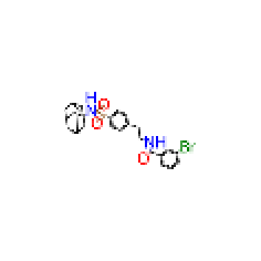 O=C(NCCc1ccc(S(=O)(=O)NC23CC4CC(CC(C4)C2)C3)cc1)c1cccc(Br)c1